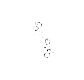 Cn1cc(C(=O)c2ccnc(N3CCC(n4c(=O)[nH]c5ncccc54)CC3)c2)c2ccccc21